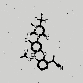 CC(=O)OOc1cccc(C(C)C#N)c1Oc1cc(-n2c(=O)cc(C(F)(F)F)n(C)c2=O)c(Cl)cc1Cl